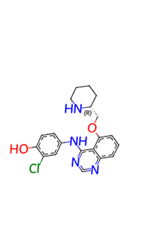 Oc1ccc(Nc2ncnc3cccc(OC[C@H]4CCCCN4)c23)cc1Cl